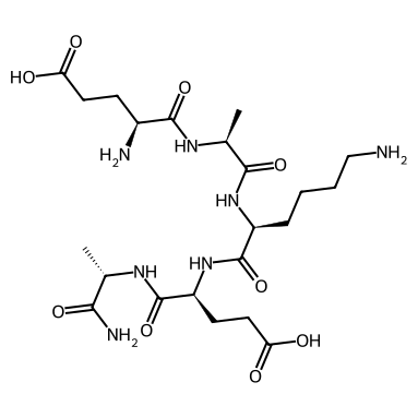 C[C@H](NC(=O)[C@H](CCC(=O)O)NC(=O)[C@H](CCCCN)NC(=O)[C@H](C)NC(=O)[C@@H](N)CCC(=O)O)C(N)=O